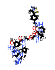 CC[C@@H]1c2nncn2-c2cnc(Nc3ccc(C(=O)NCCOCC(=O)N[C@H](C(=O)N4CCC[C@H]4C(=O)NCc4ccc(-c5scnc5C)cc4)C(C)(C)C)cc3OC)nc2N1C1CCCC1